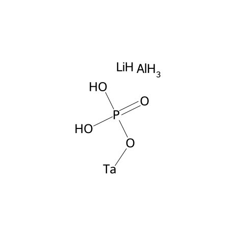 O=P(O)(O)[O][Ta].[AlH3].[LiH]